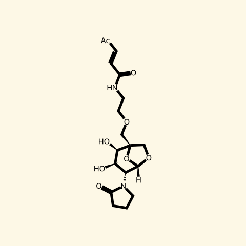 CC(=O)/C=C/C(=O)NCCOC[C@@]12CO[C@@H](O1)[C@H](N1CCCC1=O)[C@@H](O)[C@H]2O